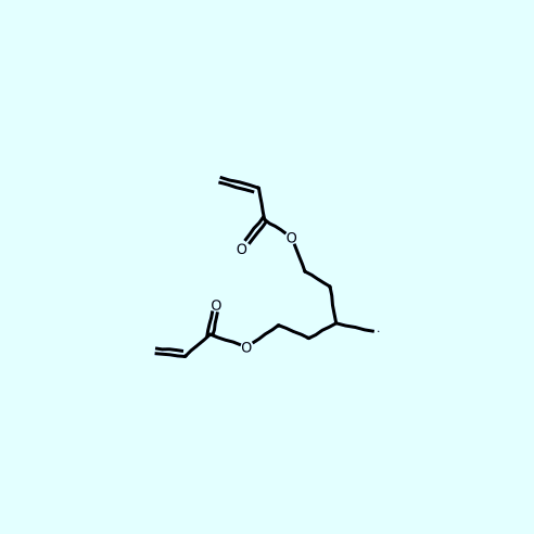 [CH2]C(CCOC(=O)C=C)CCOC(=O)C=C